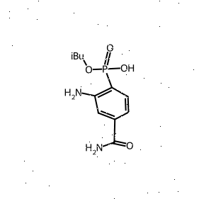 CCC(C)OP(=O)(O)c1ccc(C(N)=O)cc1N